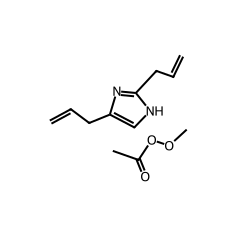 C=CCc1c[nH]c(CC=C)n1.COOC(C)=O